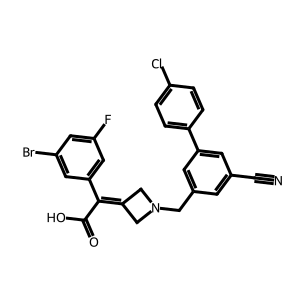 N#Cc1cc(CN2CC(=C(C(=O)O)c3cc(F)cc(Br)c3)C2)cc(-c2ccc(Cl)cc2)c1